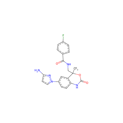 Nc1ccn(-c2ccc3c(c2)C(CNC(=O)c2ccc(F)cc2)(C(F)(F)F)OC(=O)N3)n1